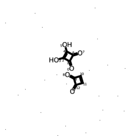 O=c1c(O)c(O)c1=O.O=c1ccc1=O